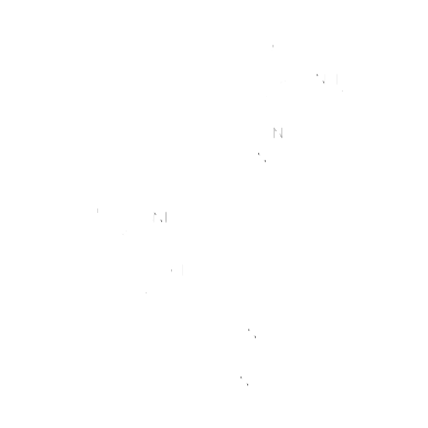 NC(=O)c1nn(-c2ccc(C=Cn3ccnc3)cc2)c2c1CCc1ccc(NC(=O)c3ccccc3Cl)cc1-2